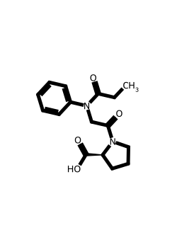 CCC(=O)N(CC(=O)N1CCC[C@H]1C(=O)O)c1ccccc1